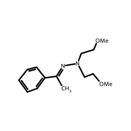 COCCN(CCOC)N=C(C)c1ccccc1